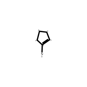 [S]C1=CCCC1